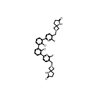 O=C1CCC2(CN(Cc3ccc(-c4cccc(-c5cccc(-c6ccc(CN7CC8(CCC(=O)N8)C7)c(F)n6)c5Cl)c4Cl)nc3F)C2)N1